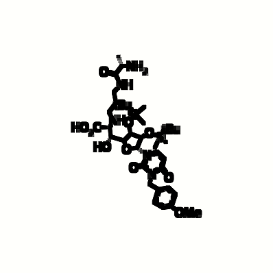 COc1ccc(Cn2c(=O)ccn([C@@H]3OC([C@H](O)[C@H](NCCCNC(=O)[C@H](C)N)C(=O)O)[C@@H](O[Si](C)(C)C(C)(C)C)[C@H]3O[Si](C)(C)C(C)(C)C)c2=O)cc1